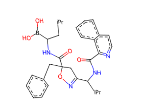 CC(C)CC(NC(=O)C1(Cc2ccccc2)CC(C(NC(=O)c2nccc3ccccc23)C(C)C)=NO1)B(O)O